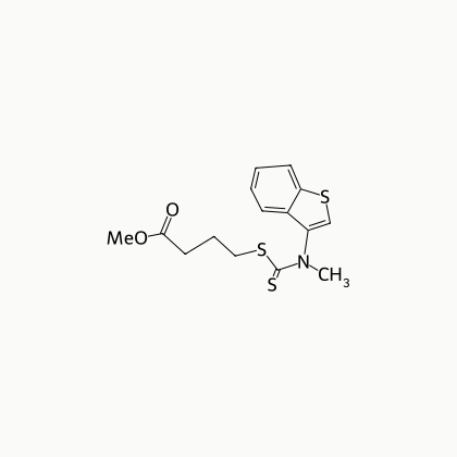 COC(=O)CCCSC(=S)N(C)c1csc2ccccc12